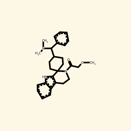 COCC(=O)N1CCc2c([nH]c3ccccc23)C12CCC(C(c1ccccc1)N(C)C)CC2